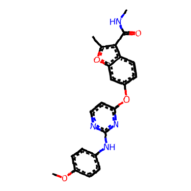 CNC(=O)c1c(C)oc2cc(Oc3ccnc(Nc4ccc(OC)cc4)n3)ccc12